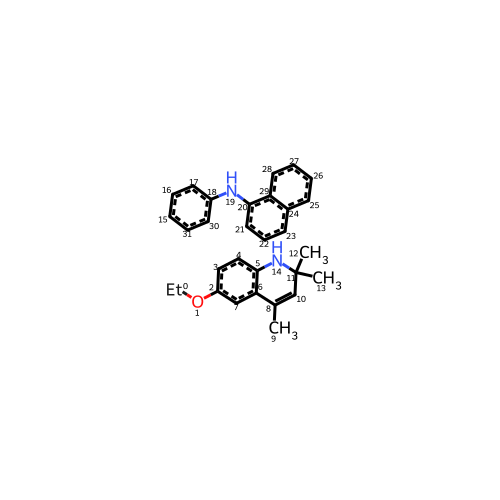 CCOc1ccc2c(c1)C(C)=CC(C)(C)N2.c1ccc(Nc2cccc3ccccc23)cc1